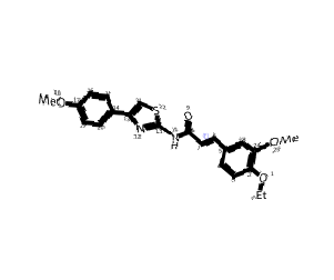 CCOc1ccc(/C=C/C(=O)Nc2nc(-c3ccc(OC)cc3)cs2)cc1OC